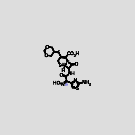 Nc1nc(/C(=N/O)C(=O)NC2C(=O)N3C(C(=O)O)=C(SC4COCOC4)CS[C@@H]23)cs1